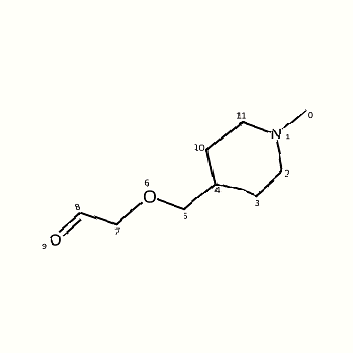 CN1CCC(COCC=O)CC1